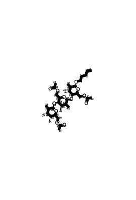 C=CCCCO[C@@H]1OC(COC(C)=O)[C@@H](O[C@@H]2OC(COC(C)=O)[C@H](O[C@H]3OC(COC(C)=O)[C@H](C)[C@H](C)C3C)[C@H](C)C2C)[C@H](C)C1C